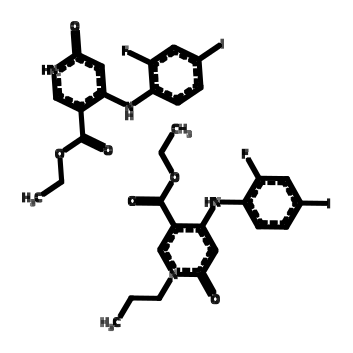 CCCn1cc(C(=O)OCC)c(Nc2ccc(I)cc2F)cc1=O.CCOC(=O)c1c[nH]c(=O)cc1Nc1ccc(I)cc1F